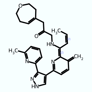 C=c1ccc(-c2c[nH]nc2-c2cccc(C)n2)n/c1=C(/C=C\C)NCC(=O)CC1=CCCOCC1